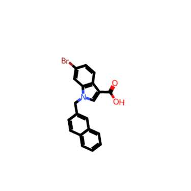 O=C(O)c1cn(Cc2ccc3ccccc3c2)c2cc(Br)ccc12